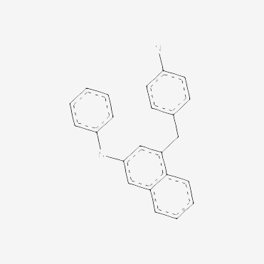 Nc1ccc(Cc2cc(Nc3ccccc3)cc3ccccc23)cc1